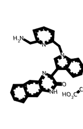 CC(=O)O.NCc1cccc(Cn2cc(-c3nc4cc5ccccc5cc4[nH]c3=O)c3ccccc32)n1